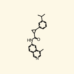 Cc1cncc2ccc(NC(=O)C3CC3c3cccc(C(C)C)c3)cc12